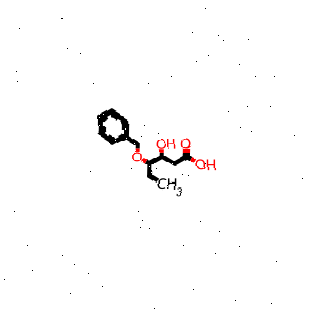 CCC(OCc1ccccc1)C(O)CC(=O)O